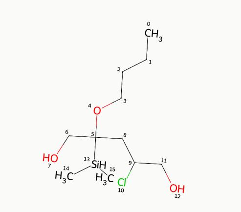 CCCCOC(CO)(CC(Cl)CO)[SiH](C)C